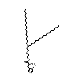 CCCCCCCCCCCCCCCCN(CCCCCCCCCCCCCCCC)CCOCCOC(=O)C(N)Cc1cncn1C